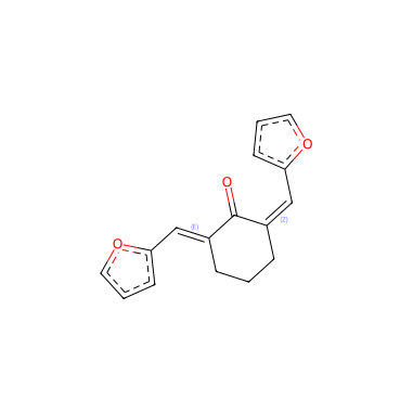 O=C1/C(=C\c2ccco2)CCC/C1=C\c1ccco1